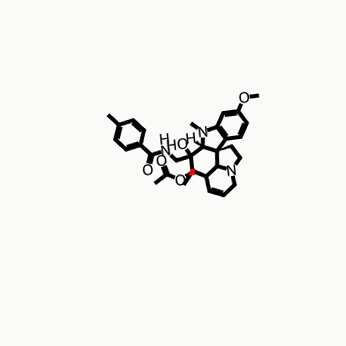 CC[C@]12C=CCN3CC[C@@]4(c5ccc(OC)cc5N(C)[C@H]4C(O)(CNC(=O)c4ccc(C)cc4)[C@@H]1OC(C)=O)C32